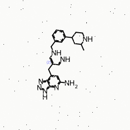 CC1CC(c2cccc(CN/C=C(\C=N)Cc3cc(N)nc4[nH]nnc34)c2)CCN1